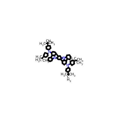 CC(C)(C)c1ccc(N(c2ccc(C(C)(C)C)cc2)c2ccc3c4cc5c(cc4n4c6ccccc6c2c34)c2ccc(N(c3ccc(C(C)(C)C)cc3)c3ccc(C(C)(C)C)cc3)c3c4ccccc4n5c23)cc1